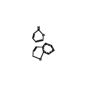 C1=CNOC=C1.C1=Cc2ccccc2OC1